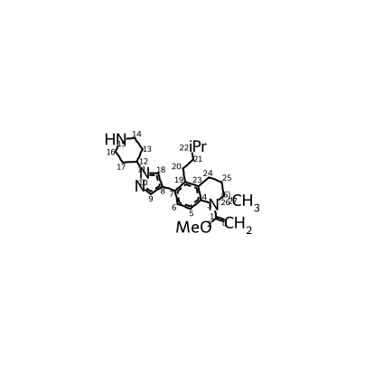 C=C(OC)N1c2ccc(-c3cnn(C4CCNCC4)c3)c(CCC(C)C)c2CC[C@@H]1C